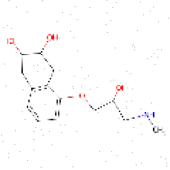 CNCC(O)COc1cccc2c1CC(O)C(O)C2